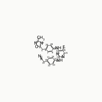 Cc1noc(Cc2ccc(Nc3nc(Nc4ccc(CC#N)cc4)ncc3F)cc2)n1